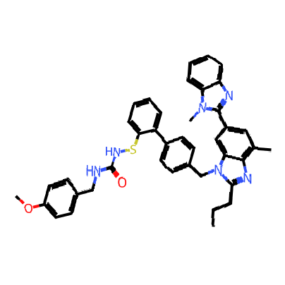 CCCc1nc2c(C)cc(-c3nc4ccccc4n3C)cc2n1Cc1ccc(-c2ccccc2SNC(=O)NCc2ccc(OC)cc2)cc1